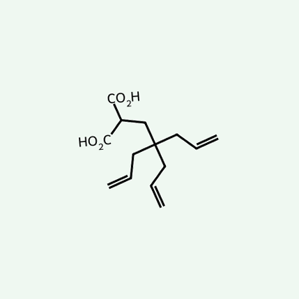 C=CCC(CC=C)(CC=C)CC(C(=O)O)C(=O)O